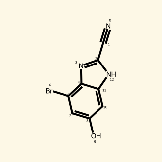 N#Cc1nc2c(Br)cc(O)cc2[nH]1